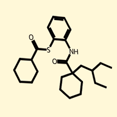 CCC(CC)CC1(C(=O)Nc2ccccc2SC(=O)C2CCCCC2)CCCCC1